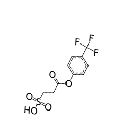 O=C(CCS(=O)(=O)O)Oc1ccc(C(F)(F)F)cc1